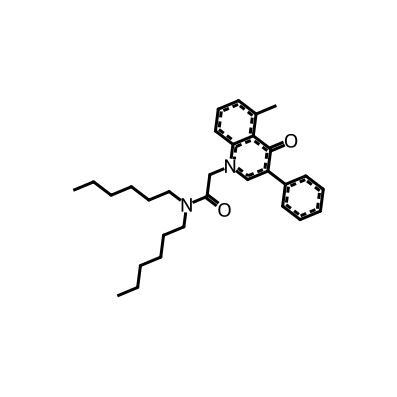 CCCCCCN(CCCCCC)C(=O)Cn1cc(-c2ccccc2)c(=O)c2c(C)cccc21